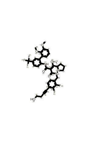 COc1cccc(-c2cc(C(F)(F)F)ccc2NC(=O)C2=C(O)[C@@]3(C)CCCN3N(Cc3ccc(C#CCCO)c(F)c3F)C2=O)c1OC